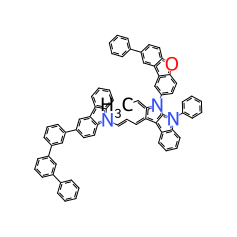 C\C=c1/c(=C\C=C\n2c3ccccc3c3cc(-c4cccc(-c5cccc(-c6ccccc6)c5)c4)ccc32)c2c3ccccc3n(-c3ccccc3)c2n1-c1ccc2oc3ccc(-c4ccccc4)cc3c2c1